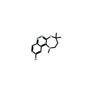 CN1CCC(C)(C)Oc2nnc3ccc(Br)cc3c21